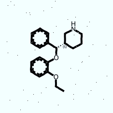 CCOc1ccccc1OC(c1ccccc1)[C@H]1CCCNC1